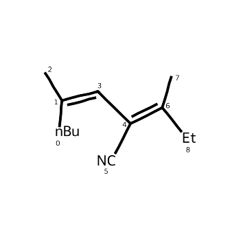 CCCC/C(C)=C\C(C#N)=C(/C)CC